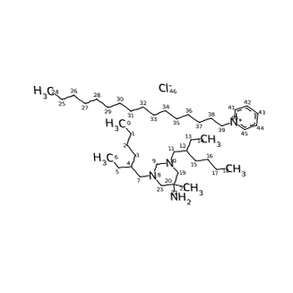 CCCCC(CC)CN1CN(CC(CC)CCCC)CC(C)(N)C1.CCCCCCCCCCCCCCCC[n+]1ccccc1.[Cl-]